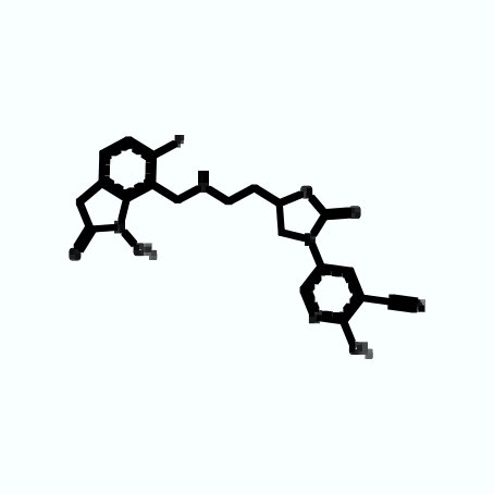 Cc1ncc(N2CC(CCNCc3c(F)ccc4c3N(C)C(=O)C4)OC2=O)cc1C#N